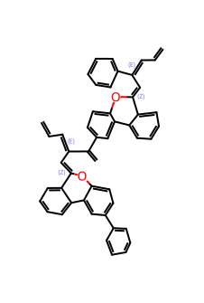 C=C/C=C(\C=C1/Oc2ccc(-c3ccccc3)cc2-c2ccccc21)C(=C)c1ccc2c(c1)-c1ccccc1/C(=C/C(=C\C=C)c1ccccc1)O2